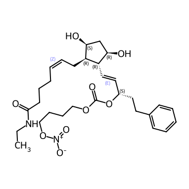 CCNC(=O)CCC/C=C\C[C@@H]1[C@@H](/C=C/[C@H](CCc2ccccc2)OC(=O)OCCCCO[N+](=O)[O-])[C@H](O)C[C@@H]1O